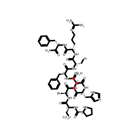 CC(C)C[C@H](NC(=O)[C@H](Cc1ccccc1)NC(=O)[C@@H](NC(=O)[C@@H](Cc1cnc[nH]1)NC(=O)[C@H](CC(=O)O)NC(=O)[C@@H](NC(=O)[C@H](CC(=O)O)NC(=O)[C@@H]1CCCN1)C(C)C)C(C)C)C(=O)N[C@@H](CCCN=C(N)N)C(=O)N[C@@H](Cc1ccccc1)C(N)=O